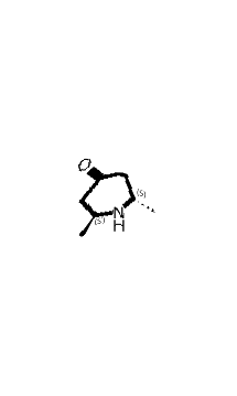 C[C@H]1CC(=O)C[C@H](C)N1